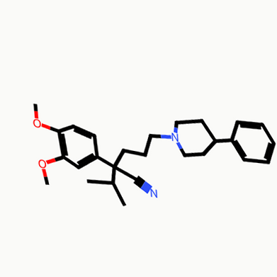 COc1ccc(C(C#N)(CCCN2CCC(c3ccccc3)CC2)C(C)C)cc1OC